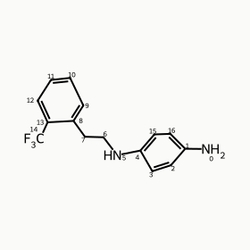 Nc1ccc(NCCc2ccccc2C(F)(F)F)cc1